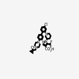 O=C(O)c1cnn(C2CCCN(c3cc(Cl)ccc3-c3ccc(N4CCN(CC5(C(F)(F)F)CC5)CC4)cc3)C2)c1C(F)F